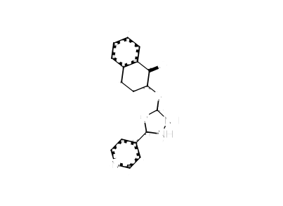 O=C1c2ccccc2CCC1SC1NNC(c2ccncc2)O1